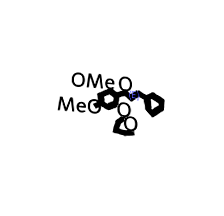 COc1cc(OC)c(C(=O)/C=C/c2ccccc2)c(OC2CCCCO2)c1